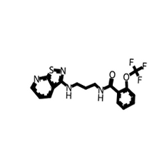 O=C(NCCCNc1nsc2ncccc12)c1ccccc1OC(F)(F)F